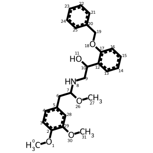 COc1ccc(CC(NCC(O)c2ccccc2OCc2ccccc2)OC)cc1OC